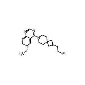 CC(C)CCN1CC2(CCN(c3ncnc4c3=C[C@H](CC(F)(F)F)CC=4)CC2)C1